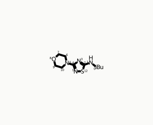 CCC(C)Nc1nc(N2CCOCC2)ns1